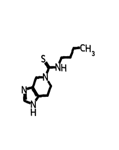 CCCCNC(=S)N1CCc2[nH]cnc2C1